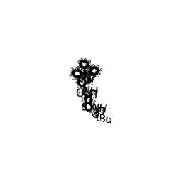 CC(C)(C)OC(=O)NC1CCSc2cc(C(=O)Nc3ccnc4c3cnn4C(c3ccccc3)(c3ccccc3)c3ccccc3)c(Cl)cc21